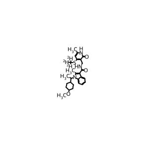 [2H]C([2H])([2H])Sc1cc(C)[nH]c(=O)c1CNC(=O)c1c(C)n(C(C)C2CCC(OC)CC2)c2ccccc12